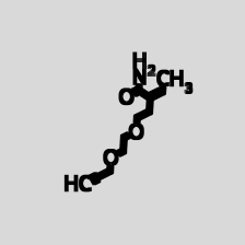 C#CCOCCOCCC(=CC)C(N)=O